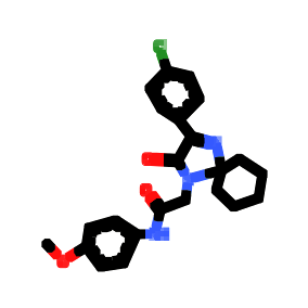 COc1ccc(NC(=O)CN2C(=O)C(c3ccc(Cl)cc3)=NC23CCCCC3)cc1